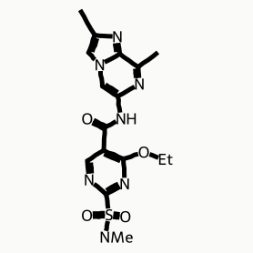 CCOc1nc(S(=O)(=O)NC)ncc1C(=O)Nc1cn2cc(C)nc2c(C)n1